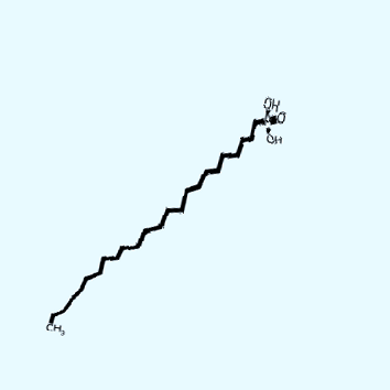 CCCCCCCCCCCC[CH]CCCCCCCCCCCP(=O)(O)O